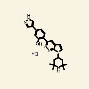 CC1(C)CC(n2ccc3cc(-c4ccc(-c5cn[nH]c5)cc4O)nnc32)CC(C)(C)N1.Cl